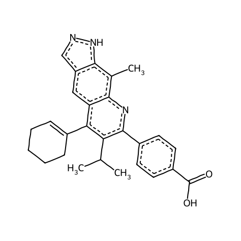 Cc1c2nc(-c3ccc(C(=O)O)cc3)c(C(C)C)c(C3=CCCCC3)c2cc2cn[nH]c12